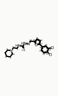 S=C(NCCN1CCCCC1)NN=Cc1ccc(-c2ccc(Cl)c(Cl)c2)o1